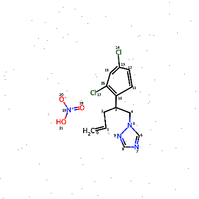 C=CCC(Cn1cncn1)c1ccc(Cl)cc1Cl.O=[N+]([O-])O